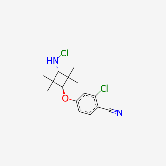 CC1(C)[C@H](NCl)C(C)(C)[C@H]1Oc1ccc(C#N)c(Cl)c1